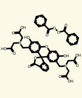 O=C(O)CN(CC(=O)O)Cc1cc2c(cc1O)Oc1cc(O)c(CN(CC(=O)O)CC(=O)O)cc1C21OC(=O)c2ccccc21.O=C(OOC(=O)c1ccccc1)c1ccccc1